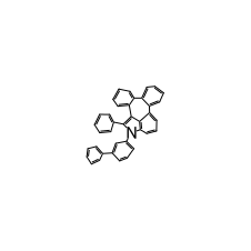 c1ccc(-c2cccc(-n3c(-c4ccccc4)c4c5c(cccc53)-c3ccccc3-c3ccccc3-4)c2)cc1